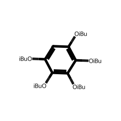 CC(C)COc1[c]c(OCC(C)C)c(OCC(C)C)c(OCC(C)C)c1OCC(C)C